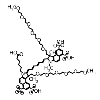 CC[N+]1=C(/C=C/C=C/C=C/C=C2/N(CCCCCC(=O)O)c3ccc4c(S(=O)(=O)[O-])cc(S(=O)(=O)O)cc4c3C2(C)CCOCCOCCOCCOCCOCCOC)C(C)(CCOCCOCCOCCOCCOCCOC)c2c1ccc1c(S(=O)(=O)O)cc(S(=O)(=O)O)cc21